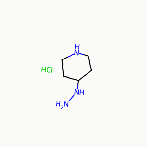 Cl.NNC1CCNCC1